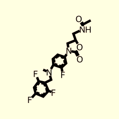 CC(=O)NCC1CN(c2ccc(N(C)Cc3c(F)cc(F)cc3F)c(F)c2)C(=O)O1